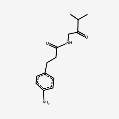 CC(C)C(=O)CNC(=O)CCc1ccc(N)cc1